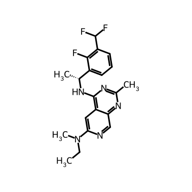 CCN(C)c1cc2c(N[C@H](C)c3cccc(C(F)F)c3F)nc(C)nc2cn1